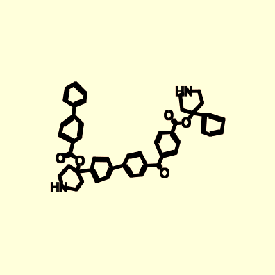 O=C(OC1(c2ccccc2)CCNCC1)c1ccc(C(=O)c2ccc(-c3ccc(C4(OC(=O)c5ccc(-c6ccccc6)cc5)CCNCC4)cc3)cc2)cc1